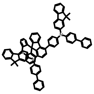 CC1(C)c2ccccc2-c2ccc(N(c3ccc(-c4ccccc4)cc3)c3ccc(-c4ccc(N(c5ccc(-c6ccccc6)cc5)c5ccc6c(c5)C(C)(C)c5ccccc5-6)c5c4-c4ccccc4C54c5ccccc5Oc5ccccc54)cc3)cc21